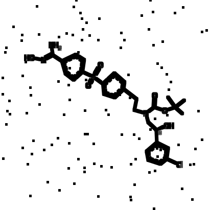 CC(C)(C)OC(=O)N(CCc1ccc(S(=O)(=O)c2ccc(C(N)=NO)cc2)cc1)C[C@@H](O)c1cccc(Cl)c1